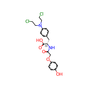 O=C(COc1ccc(O)cc1)N[C@@H](Cc1ccc(N(CCCl)CCCl)cc1)C(=O)O